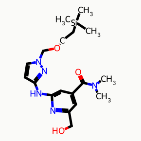 CN(C)C(=O)c1cc(CO)nc(Nc2ccn(COCC[Si](C)(C)C)n2)c1